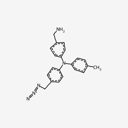 Cc1ccc(N(c2ccc(CN)cc2)c2ccc(CN=[N+]=[N-])cc2)cc1